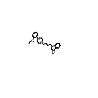 CCOc1ccccc1N1CCN(CCCCC2CNc3ccccc32)CC1